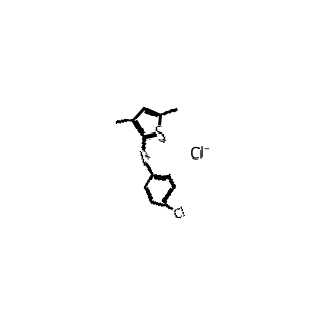 Cc1cc(C)c([I+]c2ccc(Cl)cc2)s1.[Cl-]